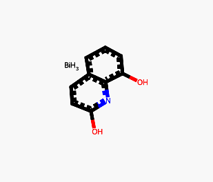 Oc1ccc2cccc(O)c2n1.[BiH3]